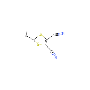 C[C]C1SC(C#N)=C(C#N)S1